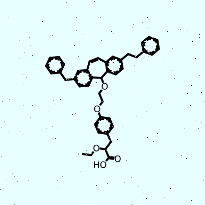 CCOC(Cc1ccc(OCCOC2c3ccc(CCc4ccccc4)cc3C=Cc3cc(Cc4ccccc4)ccc32)cc1)C(=O)O